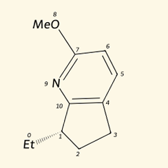 CC[C@H]1CCc2ccc(OC)nc21